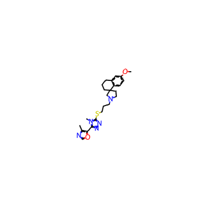 COc1ccc2c(c1)CCCC21CCN(CCCSc2nnc(-c3ocnc3C)n2C)C1